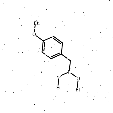 CCOc1ccc(CP(OCC)OCC)cc1